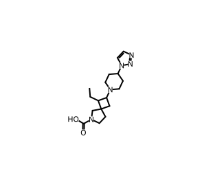 CCC1C(N2CCC(n3ccnn3)CC2)CC12CCN(C(=O)O)C2